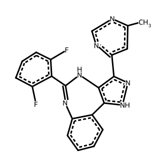 Cc1cc(-c2n[nH]c3c2NC(c2c(F)cccc2F)=Nc2ccccc2-3)ncn1